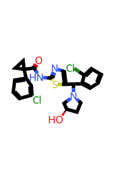 O=C(Nc1ncc(C(c2ccccc2Cl)N2CC[C@@H](O)C2)s1)C1(c2cccc(Cl)c2)CC1